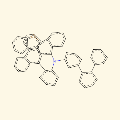 c1ccc(-c2ccccc2-c2cccc(N(c3ccccc3-c3cc4ccccc4c4ccccc34)c3cc4c5ccccc5sc4c4ccccc34)c2)cc1